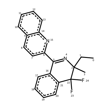 CCC1(C)N=C(c2ccc3ccccc3n2)c2ccccc2C1(F)F